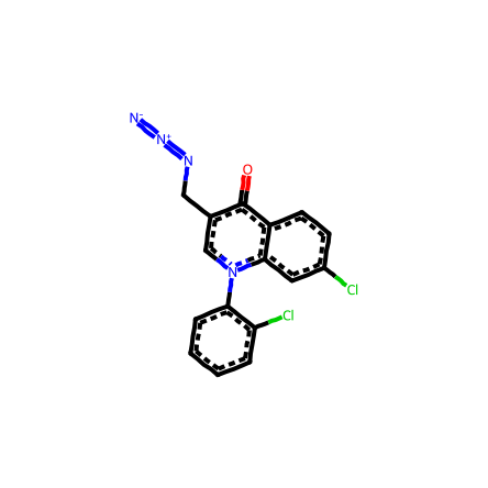 [N-]=[N+]=NCc1cn(-c2ccccc2Cl)c2cc(Cl)ccc2c1=O